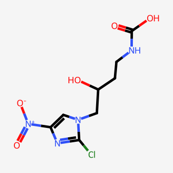 O=C(O)NCCC(O)Cn1cc([N+](=O)[O-])nc1Cl